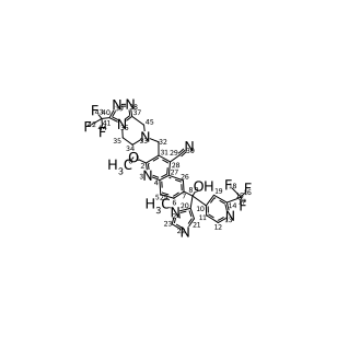 COc1nc2ccc(C(O)(c3ccnc(C(F)(F)F)c3)c3cncn3C)cc2c(C#N)c1CN1CCn2c(nnc2C(F)(F)F)C1